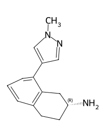 Cn1cc(-c2cccc3c2C[C@H](N)CC3)cn1